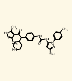 Cc1ccc(-n2nc(C(C)(C)C)cc2NC(=O)Nc2ccc(C(C(=O)c3c(C)n[nH]c3C)C3CCNCC3)cc2)cc1